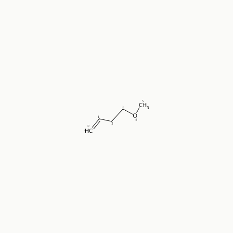 [CH]=CCCOC